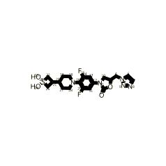 O=C1OC(Cn2ccnn2)CN1c1cc(F)c(N2CCC(C3CS(O)(O)C3)CC2)c(F)c1